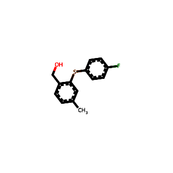 Cc1ccc(CO)c(Sc2ccc(F)cc2)c1